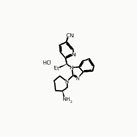 CC[C@@H](c1ccc(C#N)cn1)n1c(N2CCC[C@H](N)C2)nc2ccccc21.Cl